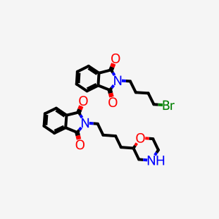 O=C1c2ccccc2C(=O)N1CCCCBr.O=C1c2ccccc2C(=O)N1CCCCC1CNCCO1